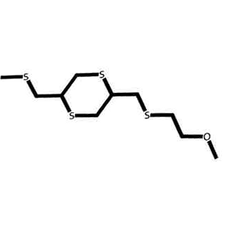 COCCSCC1CSC(CSC)CS1